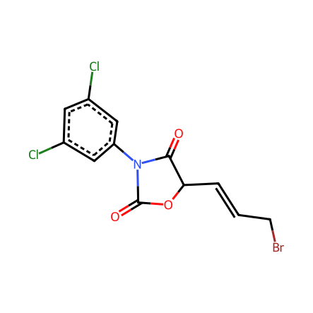 O=C1OC(/C=C/CBr)C(=O)N1c1cc(Cl)cc(Cl)c1